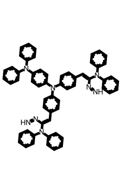 N=NC(=Cc1ccc(N(c2ccc(C=C(N=N)N(c3ccccc3)c3ccccc3)cc2)c2ccc(N(c3ccccc3)c3ccccc3)cc2)cc1)N(c1ccccc1)c1ccccc1